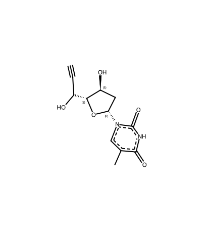 C#CC(O)[C@H]1O[C@@H](n2cc(C)c(=O)[nH]c2=O)C[C@@H]1O